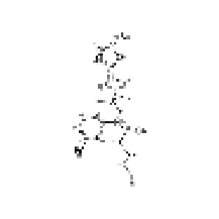 CC(C)(C)c1nnc(C2=C3CC(CN(C(=O)CCCF)c4cccc(Br)c4)(CC2)C3)o1